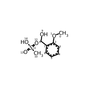 COc1ccccc1CO.CS(=O)(=O)O